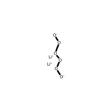 [Li+].[Li+].[O-]OOOO[O-]